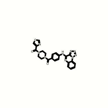 O=C(c1ccc(Nc2nc3ccccc3n3nnnc23)cc1)N1CCN(C(=O)c2cocn2)CC1